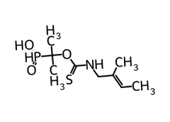 C/C=C(\C)CNC(=S)OC(C)(C)[PH](=O)O